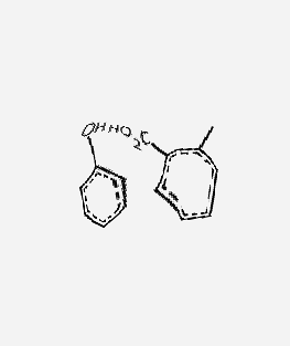 Cc1ccccc1C(=O)O.Oc1ccccc1